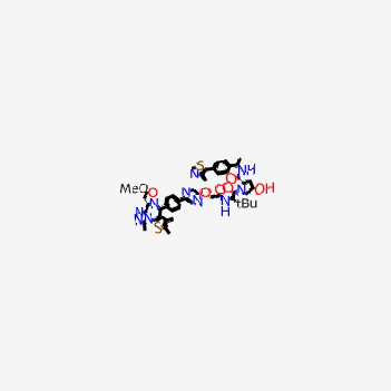 COC(=O)C[C@@H]1N=C(c2ccc(-c3cnc(OCC(=O)NC(C(=O)N4C[C@H](O)C[C@H]4C(=O)NC(C)c4ccc(-c5scnc5C)cc4)C(C)(C)C)cn3)cc2)c2c(sc(C)c2C)-n2c(C)nnc21